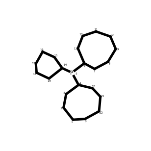 C1CCCC(P(C2CCCCCCC2)C2CCCCC2)CCC1